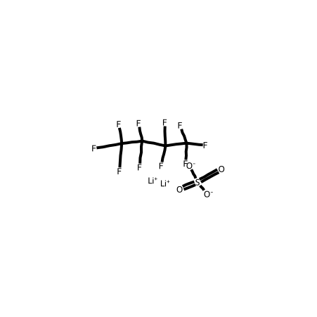 FC(F)(F)C(F)(F)C(F)(F)C(F)(F)F.O=S(=O)([O-])[O-].[Li+].[Li+]